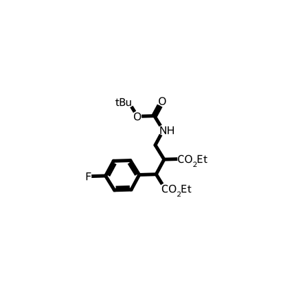 CCOC(=O)C(CNC(=O)OC(C)(C)C)C(C(=O)OCC)c1ccc(F)cc1